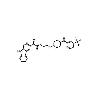 O=C(NCCCCN1CCC(Nc2cccc(C(F)(F)F)c2)CC1)c1cc2c(cn1)[nH]c1ccccc12